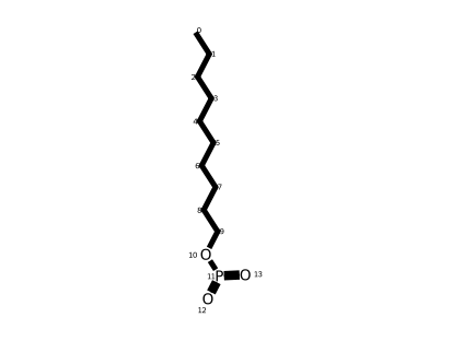 CCCCCCCCCCOP(=O)=O